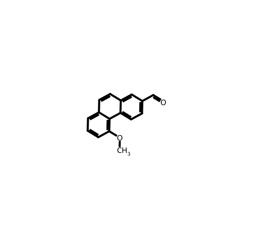 COc1cccc2ccc3cc(C=O)ccc3c12